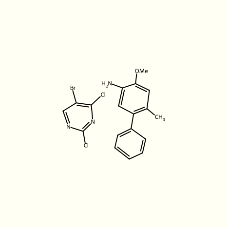 COc1cc(C)c(-c2ccccc2)cc1N.Clc1ncc(Br)c(Cl)n1